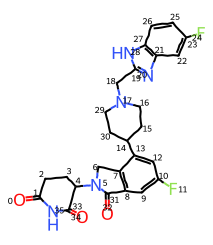 O=C1CCC(N2Cc3c(cc(F)cc3C3CCN(Cc4nc5cc(F)ccc5[nH]4)CC3)C2=O)C(=O)N1